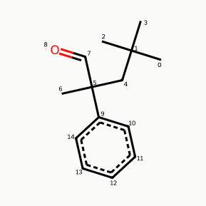 CC(C)(C)CC(C)(C=O)c1ccccc1